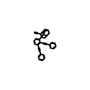 C#CC1C2CC3CC(C2)CC1(c1cccc(C#Cc2ccccc2)c1C#Cc1ccccc1)C3